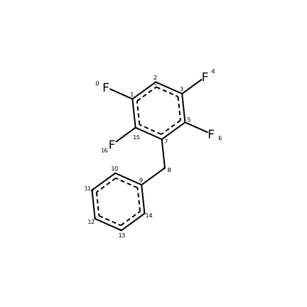 Fc1[c]c(F)c(F)c(Cc2ccccc2)c1F